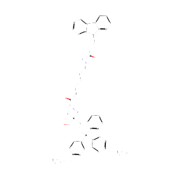 COc1ccc(C(OCC2(CO)CN(C(=O)CCCCCNC(=O)OCC3c4ccccc4-c4ccccc43)C2)(c2ccccc2)c2ccc(OC)cc2)cc1